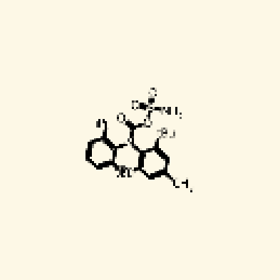 Cc1cc(C(C)(C)C)c(N(C(=O)OS(N)(=O)=O)c2c(C(C)C)cccc2C(C)C)c(C(C)(C)C)c1